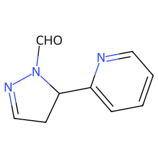 O=CN1N=CCC1c1ccccn1